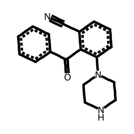 N#Cc1cccc(N2CCNCC2)c1C(=O)c1ccccc1